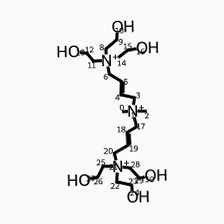 C[N+](C)(C/C=C/C[N+](CCO)(CCO)CCO)C/C=C/C[N+](CCO)(CCO)CCO